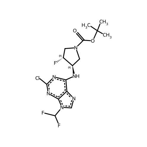 CC(C)(C)OC(=O)N1C[C@@H](F)[C@H](Nc2nc(Cl)nc3c2ncn3C(F)F)C1